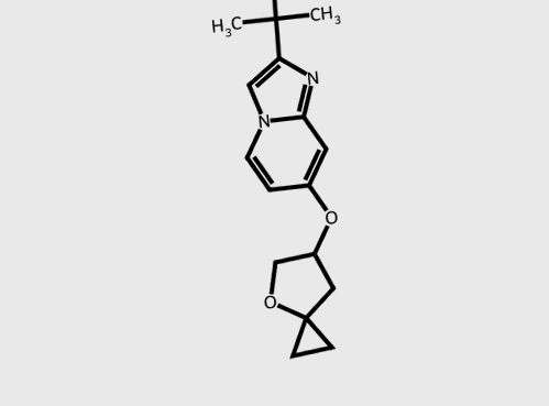 CC(C)(C)c1cn2ccc(OC3COC4(CC4)C3)cc2n1